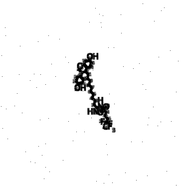 N=C(CCCCCCCCCCC1c2ccc(O)cc2OCC1c1ccc(O)cc1)NS(=O)(=O)CCCC(F)(F)C(F)(F)F